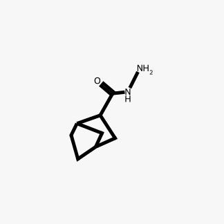 NNC(=O)C1CC2CCC1C2